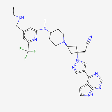 CCNCc1cc(N(C)C2CCN([C@H]3C[C@](CC#N)(n4cc(-c5ncnc6[nH]ccc56)cn4)C3)CC2)nc(C(F)(F)F)c1